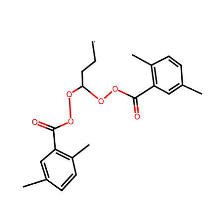 [CH2]CC[C](OOC(=O)c1cc(C)ccc1C)OOC(=O)c1cc(C)ccc1C